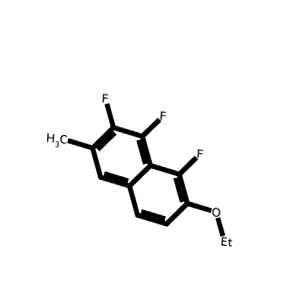 CCOc1ccc2cc(C)c(F)c(F)c2c1F